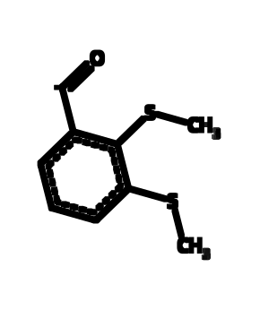 CSc1cccc([C]=O)c1SC